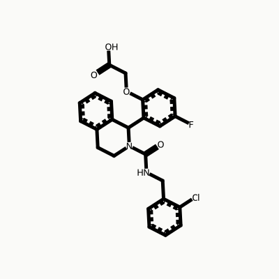 O=C(O)COc1ccc(F)cc1C1c2ccccc2CCN1C(=O)NCc1ccccc1Cl